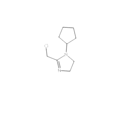 ClCC1=NCCN1C1CCCC1